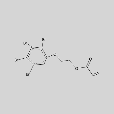 C=CC(=O)OCCOc1cc(Br)c(Br)c(Br)c1Br